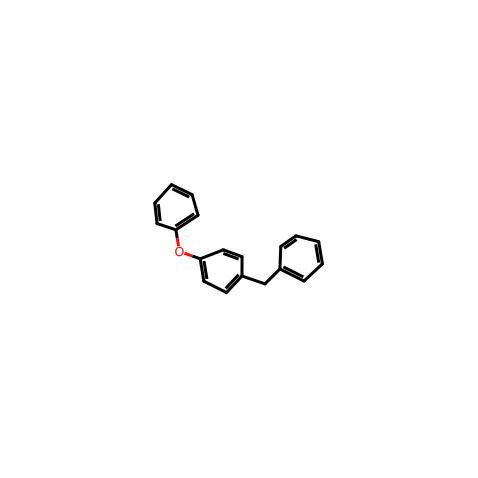 c1ccc(Cc2ccc(Oc3ccccc3)cc2)cc1